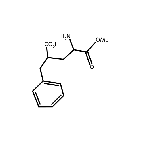 COC(=O)C(N)CC(Cc1ccccc1)C(=O)O